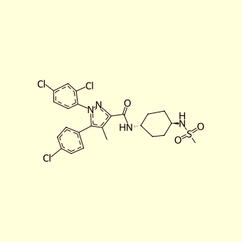 Cc1c(C(=O)N[C@H]2CC[C@H](NS(C)(=O)=O)CC2)nn(-c2ccc(Cl)cc2Cl)c1-c1ccc(Cl)cc1